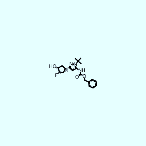 CC(C)(C)n1nc([C@H]2C[C@@H](F)[C@@H](O)C2)cc1NC(=O)OCc1ccccc1